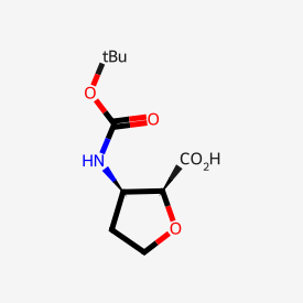 CC(C)(C)OC(=O)N[C@@H]1CCO[C@@H]1C(=O)O